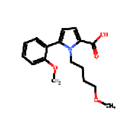 COCCCCn1c(C(=O)O)ccc1-c1ccccc1OC